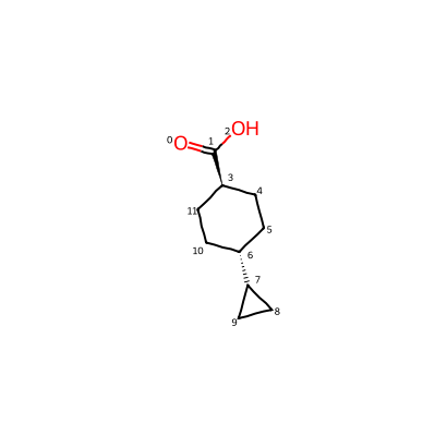 O=C(O)[C@H]1CC[C@H](C2CC2)CC1